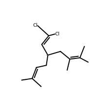 CC(C)=CC[C](C=C(Cl)Cl)CC(C)=C(C)C